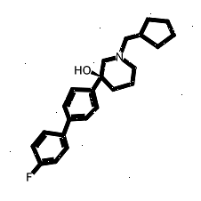 O[C@]1(c2ccc(-c3ccc(F)cc3)cc2)CCCN(CC2CCCC2)C1